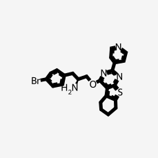 N[C@H](COc1nc(-c2ccncc2)nc2sc3c(c12)CCCC3)Cc1ccc(Br)cc1